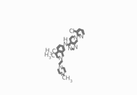 CN1CCN(CCN2Cc3cc(Nc4ncnc5c4CCN(c4ncccc4Cl)C5)ccc3C(C)(C)C2)CC1